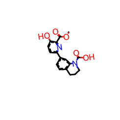 COC(=O)c1nc(-c2ccc3c(c2)N(C(=O)O)CCC3)ccc1O